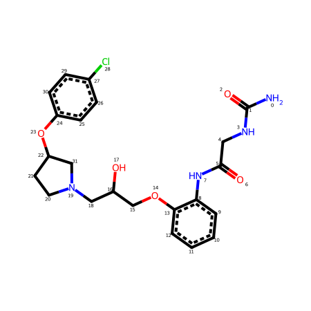 NC(=O)NCC(=O)Nc1ccccc1OCC(O)CN1CCC(Oc2ccc(Cl)cc2)C1